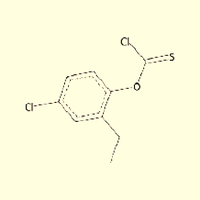 CCc1cc(Cl)ccc1OC(=S)Cl